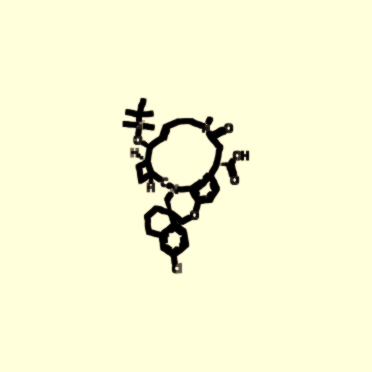 CN1CC/C=C/[C@H](O[Si](C)(C)C(C)(C)C)[C@@H]2CC[C@H]2CN2C[C@@]3(CCCc4cc(Cl)ccc43)COc3ccc(cc32)[C@@H](C(=O)O)CC1=O